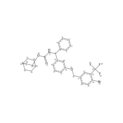 O=C(NC(c1ccccc1)c1cccc(OCc2ccc(Br)c(C(F)(F)F)c2)c1)OC1CN2CCC1CC2